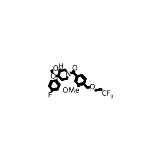 COc1cc(C(=O)N2CC[C@@]3(c4ccc(F)cc4)OCO[C@H]3C2)ccc1COCCC(F)(F)F